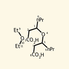 CCCC(CC(=O)O)OC(CCC)CC(=O)O.CCOCC